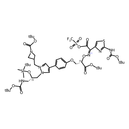 CC(C)(C)OC(=O)NC[C@@H](Cn1cc(-c2ccc(OC[C@H](O/N=C(\C(=O)OS(=O)(=O)C(F)(F)F)c3csc(NC(=O)OC(C)(C)C)n3)C(=O)OC(C)(C)C)cc2)c[n+]1CC1CN(C(=O)OC(C)(C)C)C1)O[Si](C)(C)C(C)(C)C